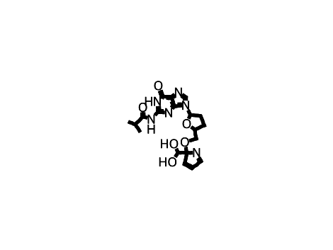 CC(C)C(=O)Nc1nc2c(ncn2C2CCC(COC3(C(O)O)C=CC=N3)O2)c(=O)[nH]1